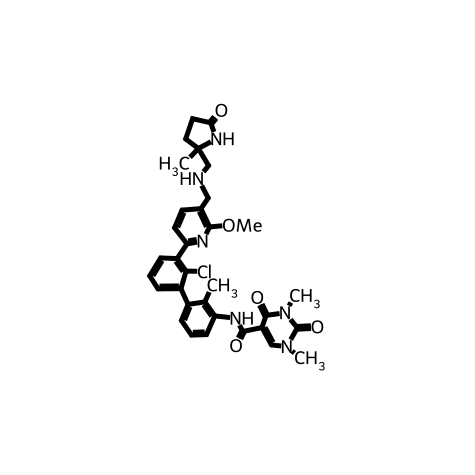 COc1nc(-c2cccc(-c3cccc(NC(=O)c4cn(C)c(=O)n(C)c4=O)c3C)c2Cl)ccc1CNCC1(C)CCC(=O)N1